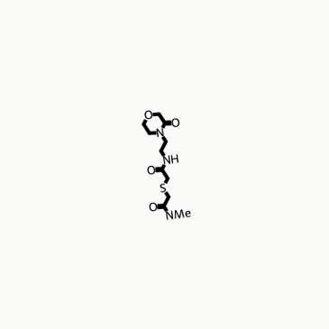 CNC(=O)CSCC(=O)NCCN1CCOCC1=O